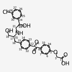 O=C(O)COc1ccc(S(=O)(=O)c2ccc(C[C@@H](CO)NC[C@H](O)c3cccc(Cl)c3)cc2)cc1